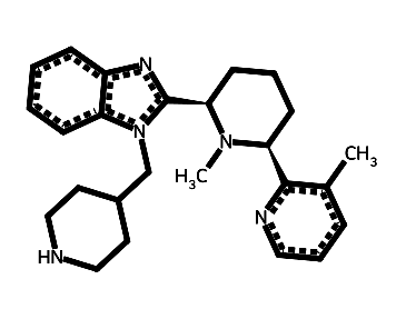 Cc1cccnc1[C@@H]1CCC[C@H](c2nc3ccccc3n2CC2CCNCC2)N1C